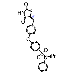 CC(C)N(c1ccccc1)S(=O)(=O)c1ccc(Oc2ccc(/C=C3/SC(=O)NC3=O)cc2)cc1